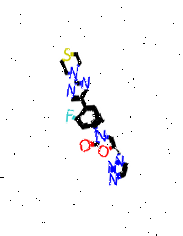 O=C1O[C@@H](Cn2ccnn2)CN1c1ccc(-c2cnc(N3CCSCC3)nc2)c(F)c1